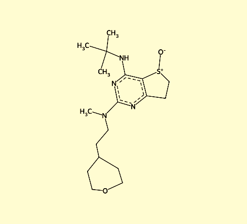 CN(CCC1CCOCC1)c1nc2c(c(NC(C)(C)C)n1)[S+]([O-])CC2